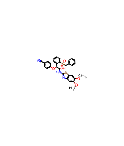 COc1cc2nc(NC(O)C(Oc3ccc(C#N)cc3)c3ccccc3S(=O)(=O)Cc3ccccc3)sc2cc1OC